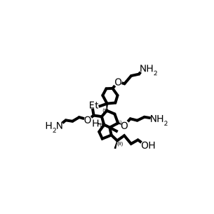 CCC(OCCCN)C1[C@@H](C2(C)CCC(OCCCN)CC2)C[C@H](OCCCN)C2(C)C([C@H](C)CCCO)CC[C@@H]12